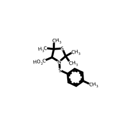 Cc1ccc(SN2C(C(=O)O)C(C)(C)SC2(C)C)cc1